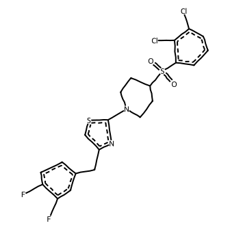 O=S(=O)(c1cccc(Cl)c1Cl)C1CCN(c2nc(Cc3ccc(F)c(F)c3)cs2)CC1